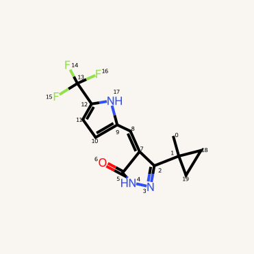 CC1(C2=NNC(=O)C2=Cc2ccc(C(F)(F)F)[nH]2)CC1